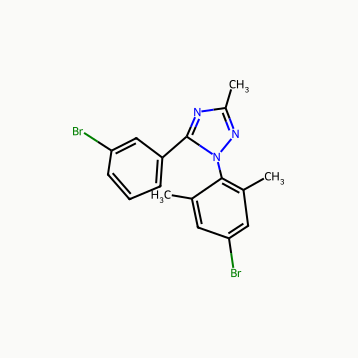 Cc1nc(-c2cccc(Br)c2)n(-c2c(C)cc(Br)cc2C)n1